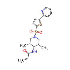 C=CC(=O)NC1C(C)CN(S(=O)(=O)c2ccc(-c3ccccn3)s2)CC1C